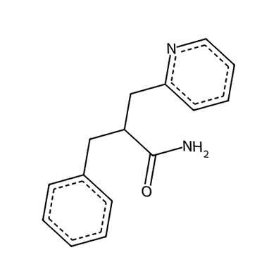 NC(=O)C(Cc1ccccc1)Cc1ccccn1